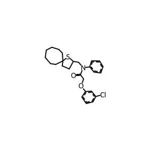 O=C(COc1cccc(Cl)c1)N(CC1CCC2(CCCCCCC2)S1)c1ccccc1